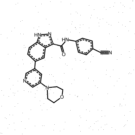 N#Cc1ccc(NC(=O)c2n[nH]c3ccc(-c4cncc(N5CCOCC5)c4)cc23)cc1